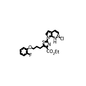 CCOC(=O)c1nc(-n2ccc3c2NN(Cl)C=C3)sc1CCCOc1ccccc1F